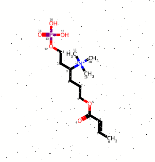 CC=CC(=O)OCCCC(CCOP(=O)(O)O)[N+](C)(C)C